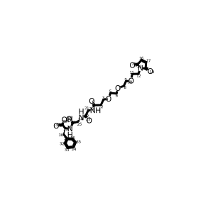 O=C(CCOCCOCCOCCN1C(=O)C=CC1=O)NCC(=O)NCC(=O)N[C@@H](Cc1ccccc1)C(=O)O